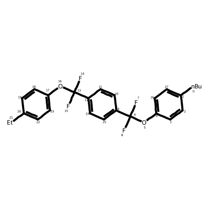 CCCCc1ccc(OC(F)(F)c2ccc(C(F)(F)Oc3ccc(CC)cc3)cc2)cc1